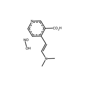 CN(C)/C=C/c1ccncc1C(=O)O.O=NO